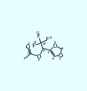 CC(=O)OC(C1=COCO1)C(F)(F)F